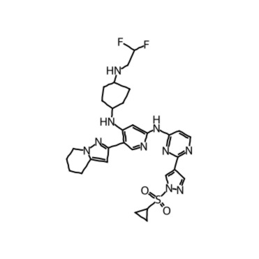 O=S(=O)(C1CC1)n1cc(-c2nccc(Nc3cc(NC4CCC(NCC(F)F)CC4)c(-c4cc5n(n4)CCCC5)cn3)n2)cn1